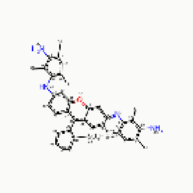 Cc1cc(C)c(/N=c2/cc3oc4cc(Nc5c(C)cc(C)c(N)c5C)ccc4c(-c4ccccc4S(=O)(=O)O)c-3cc2S(=O)(=O)O)c(C)c1N